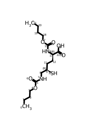 CCCCOC(=O)NC[C@H](S)CC[C@@H](NC(=O)OCCCC)C(=O)O